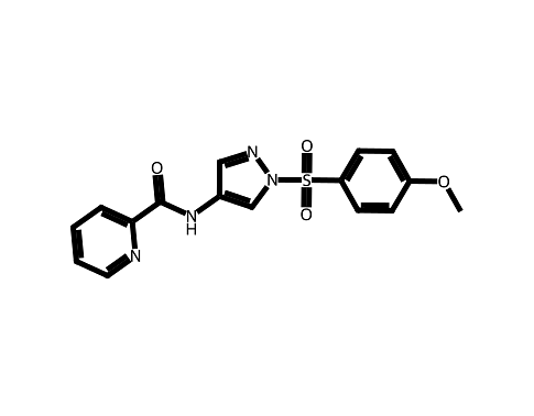 COc1ccc(S(=O)(=O)n2cc(NC(=O)c3ccccn3)cn2)cc1